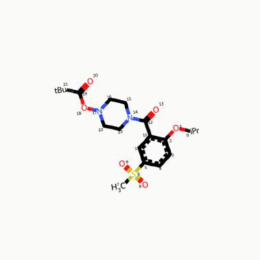 CC(C)Oc1ccc(S(C)(=O)=O)cc1C(=O)N1CCN(OC(=O)C(C)(C)C)CC1